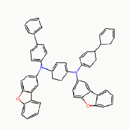 C1=CCC(C2C=CC(N(C3=CC=C(N(c4ccc(-c5ccccc5)cc4)c4ccc5oc6ccccc6c5c4)CC3)c3ccc4oc5ccccc5c4c3)=CC2)C=C1